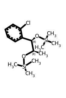 C[C@@H](O[Si](C)(C)C)[C@H](O[Si](C)(C)C)c1ccccc1Cl